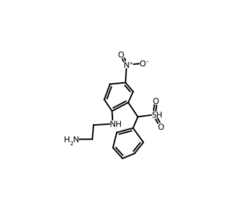 NCCNc1ccc([N+](=O)[O-])cc1C(c1ccccc1)[SH](=O)=O